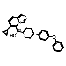 O[C@H](c1c(C2CC2)ccc2cncn12)[C@H]1CC[C@H](c2ccc(Oc3ccccc3)cc2)CC1